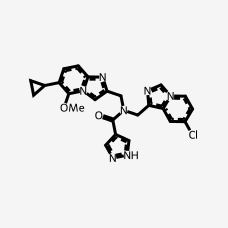 COc1c(C2CC2)ccc2nc(CN(Cc3ncn4ccc(Cl)cc34)C(=O)c3cn[nH]c3)cn12